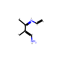 C=CN=C(C)C(C)=CN